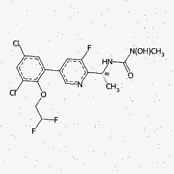 C[C@@H](NC(=O)N(C)O)c1ncc(-c2cc(Cl)cc(Cl)c2OCC(F)F)cc1F